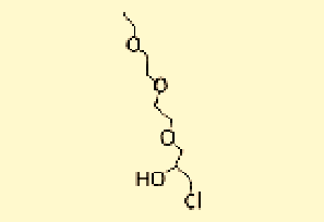 CCOCCOCCOCC(O)CCl